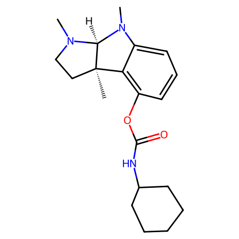 CN1CC[C@]2(C)c3c(OC(=O)NC4CCCCC4)cccc3N(C)[C@H]12